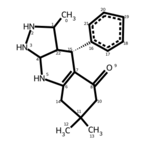 CC1NNC2NC3=C(C(=O)CC(C)(C)C3)[C@@H](c3ccccc3)C12